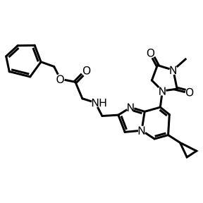 CN1C(=O)CN(c2cc(C3CC3)cn3cc(CNCC(=O)OCc4ccccc4)nc23)C1=O